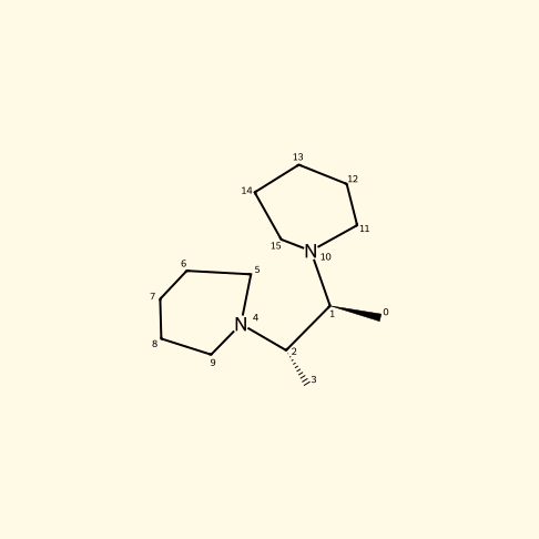 C[C@@H]([C@H](C)N1CCCCC1)N1CCCCC1